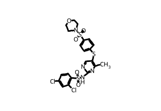 Cc1nc(NS(=O)(=O)c2ccc(Cl)cc2Cl)ncc1Sc1ccc(S(=O)(=O)N2CCOCC2)cc1